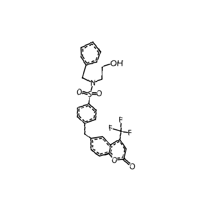 O=c1cc(C(F)(F)F)c2cc(Cc3ccc(S(=O)(=O)N(CCO)Cc4ccccc4)cc3)ccc2o1